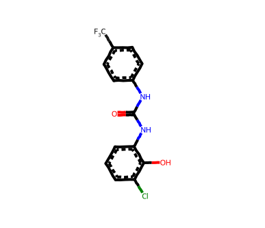 O=C(Nc1ccc(C(F)(F)F)cc1)Nc1cccc(Cl)c1O